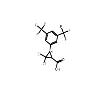 O=C(O)C1[C@H](c2cc(C(F)(F)F)cc(C(F)(F)F)c2)C1(Cl)Cl